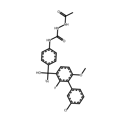 [2H]C(O)(c1ccc(NC(=O)NNC(C)=O)cc1)c1ccc(OC)c(-c2cccc(Cl)c2)c1F